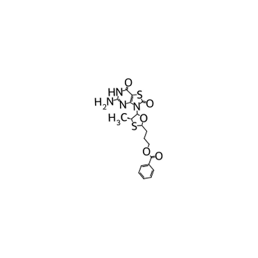 C[C@@H]1SC(CCCOC(=O)c2ccccc2)OC1n1c(=O)sc2c(=O)[nH]c(N)nc21